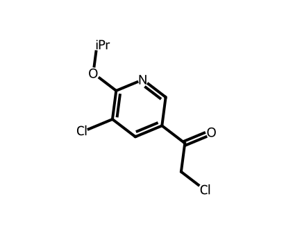 CC(C)Oc1ncc(C(=O)CCl)cc1Cl